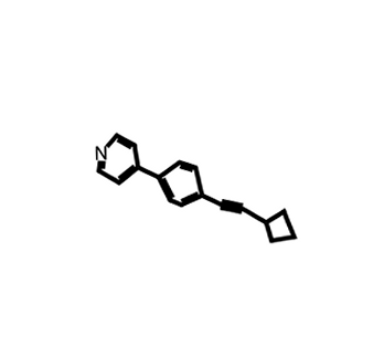 C(#CC1CCC1)c1ccc(-c2ccncc2)cc1